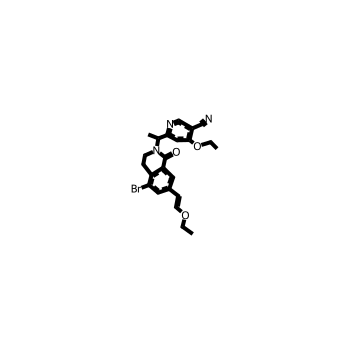 CCO/C=C/c1cc(Br)c2c(c1)C(=O)N(C(C)c1cc(OCC)c(C#N)cn1)CC2